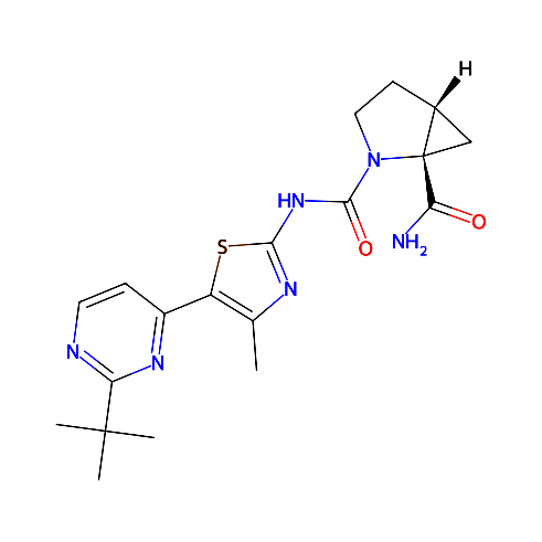 Cc1nc(NC(=O)N2CC[C@@H]3C[C@@]32C(N)=O)sc1-c1ccnc(C(C)(C)C)n1